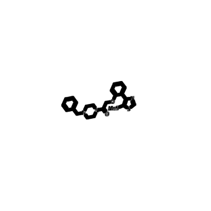 CSc1s[c]nc1-c1ccccc1OCC(=O)N1CCN(Cc2ccccc2)CC1